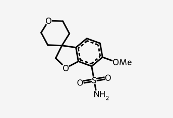 COc1ccc2c(c1S(N)(=O)=O)OCC21CCOCC1